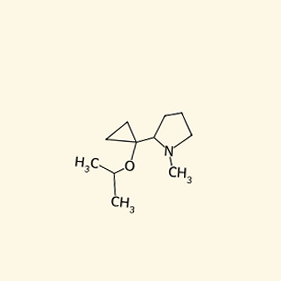 CC(C)OC1(C2CCCN2C)CC1